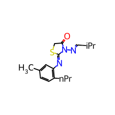 CCCc1ccc(C)cc1/N=C1\SCC(=O)N1/N=C/C(C)C